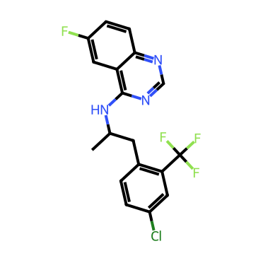 CC(Cc1ccc(Cl)cc1C(F)(F)F)Nc1ncnc2ccc(F)cc12